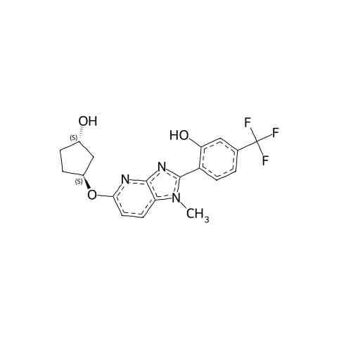 Cn1c(-c2ccc(C(F)(F)F)cc2O)nc2nc(O[C@H]3CC[C@H](O)C3)ccc21